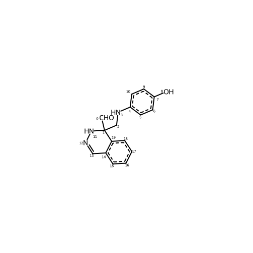 O=CC1(CNc2ccc(O)cc2)NN=Cc2ccccc21